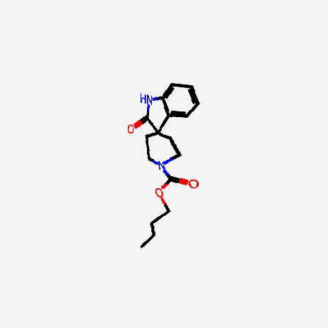 CCCCOC(=O)N1CCC2(CC1)C(=O)Nc1ccccc12